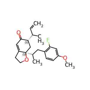 C=CC(C)[C@@H]1C[C@@]2(C(C)Cc3ccc(OC)cc3F)OCCC2=CC1=O